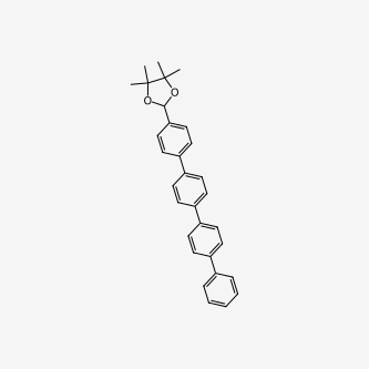 CC1(C)OC(c2ccc(-c3ccc(-c4ccc(-c5ccccc5)cc4)cc3)cc2)OC1(C)C